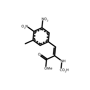 COC(=O)/C(=C\c1cc(C)c([N+](=O)[O-])c([N+](=O)[O-])c1)NC(=O)O